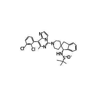 Cc1nc(N2CCC3(CC2)Cc2ccccc2[C@H]3N[S@+]([O-])C(C)(C)C)n2ccnc2c1-c1cccc(Cl)c1Cl